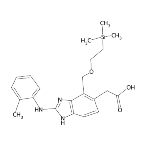 Cc1ccccc1Nc1nc2c(COCC[Si](C)(C)C)c(CC(=O)O)ccc2[nH]1